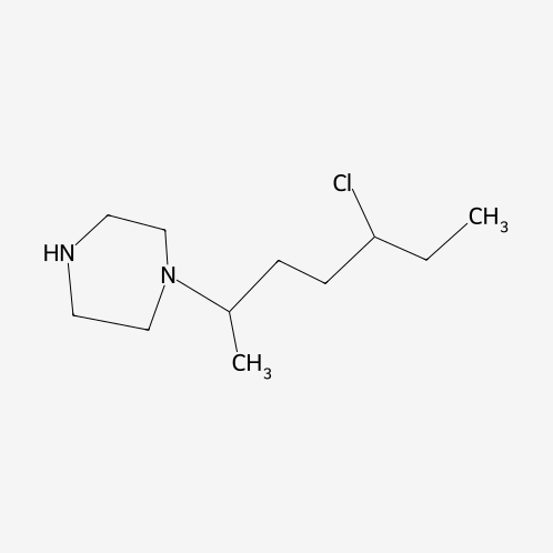 CCC(Cl)CCC(C)N1CCNCC1